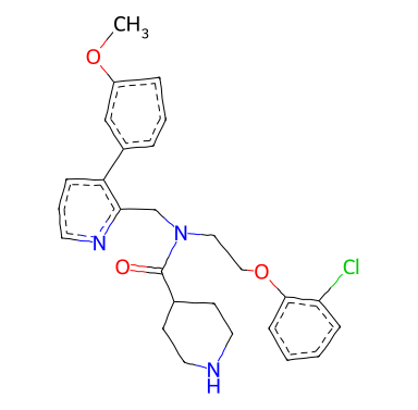 COc1cccc(-c2cccnc2CN(CCOc2ccccc2Cl)C(=O)C2CCNCC2)c1